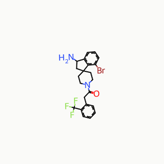 NC1CC2(CCN(C(=O)Cc3ccccc3C(F)(F)F)CC2)c2c(Br)cccc21